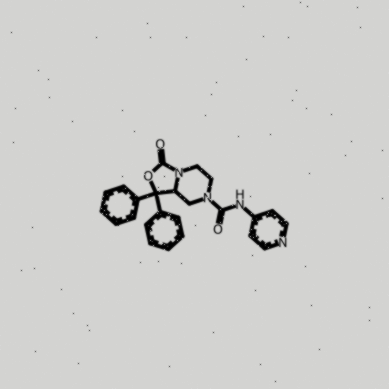 O=C(Nc1ccncc1)N1CCN2C(=O)OC(c3ccccc3)(c3ccccc3)C2C1